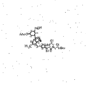 CCCCC(CC)CN(CC(CC)CCCC)C(=O)CN(CC)c1ccc(/C=c2/c(C)nn3c(-c4cc(CO)cc(OC)c4)nnc23)s1